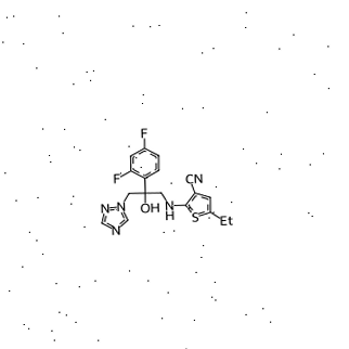 CCc1cc(C#N)c(NCC(O)(Cn2cncn2)c2ccc(F)cc2F)s1